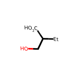 CCC(CO)C(=O)O